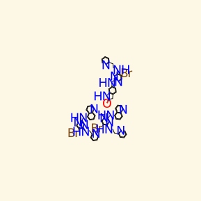 Brc1cnc(Nc2cccc3ncccc23)nc1NCCc1ccccn1.Brc1cnc(Nc2cccc3ncccc23)nc1NCc1ccccn1.O=C1Cc2ccc(Nc3ncc(Br)c(NCCc4ccccn4)n3)cc2N1